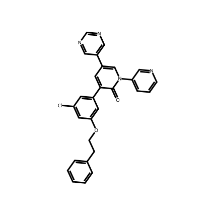 O=c1c(-c2cc(Cl)cc(OCCc3ccccc3)c2)cc(-c2cncnc2)cn1-c1cccnc1